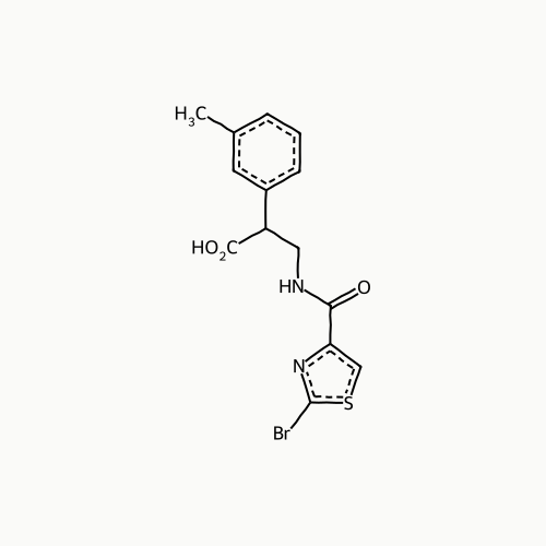 Cc1cccc(C(CNC(=O)c2csc(Br)n2)C(=O)O)c1